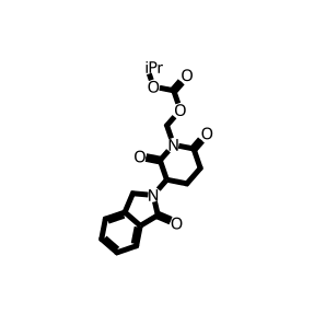 CC(C)OC(=O)OCN1C(=O)CCC(N2Cc3ccccc3C2=O)C1=O